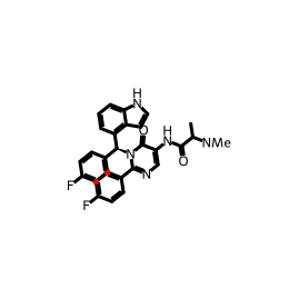 CNC(C)C(=O)Nc1cnc(-c2ccc(F)cc2)n([C@@H](c2ccc(F)cc2)c2cccc3[nH]ccc23)c1=O